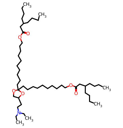 CCCCC(CCCC)CC(=O)OCCCCCCCCCCC1(CCCCCCCCCCOC(=O)CC(CCCC)CCCC)OCC(CCN(CC)CC)O1